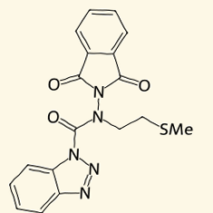 CSCCN(C(=O)n1nnc2ccccc21)N1C(=O)c2ccccc2C1=O